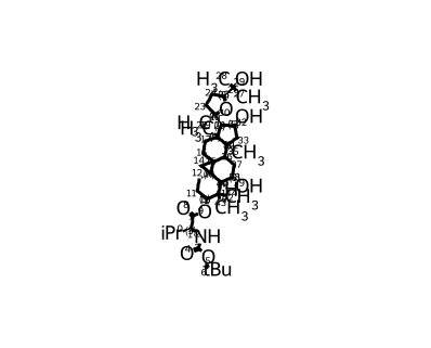 CC(C)[C@H](NC(=O)OC(C)(C)C)C(=O)O[C@H]1CC[C@]23CC24CC[C@]2(C)[C@@H]([C@@]5(C)CC[C@@H](C(C)(C)O)O5)[C@@H](O)C[C@@]2(C)C4C[C@H](O)[C@H]3C1(C)C